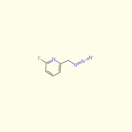 [N-]=[N+]=NCc1cccc(F)n1